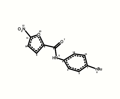 CCCCc1ccc(NC(=O)c2ccc([N+](=O)[O-])o2)cc1